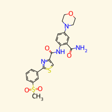 CS(=O)(=O)c1cccc(-c2nc(C(=O)Nc3ccc(N4CCOCC4)cc3C(N)=O)cs2)c1